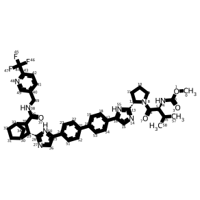 COC(=O)N[C@H](C(=O)N1CCC[C@H]1c1ncc(-c2ccc(-c3ccc(-c4cnc([C@@H]5C6CCC(C6)C5C(=O)NCc5ccc(C(F)(F)F)nc5)[nH]4)cc3)cc2)[nH]1)C(C)C